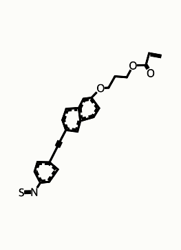 C=CC(=O)OCCCOc1ccc2cc(C#Cc3ccc(N=S)cc3)ccc2c1